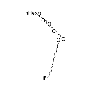 CCCCCCOCCOCCOCCOCCCC(=O)OCCCCCCCCCCCCCCCC(C)C